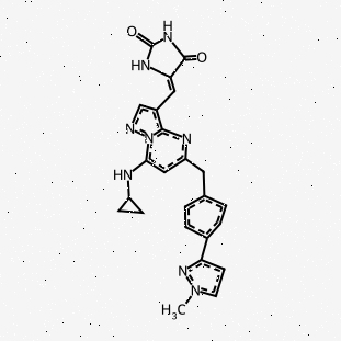 Cn1ccc(-c2ccc(Cc3cc(NC4CC4)n4ncc(/C=C5\NC(=O)NC5=O)c4n3)cc2)n1